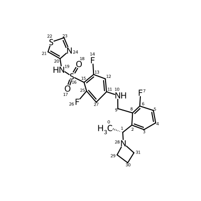 C[C@H](c1cccc(F)c1CNc1cc(F)c(S(=O)(=O)Nc2cscn2)c(F)c1)N1CCC1